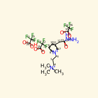 C[N+](C)(C)CCC[n+]1cccc(CC(=O)NN)c1.O=C(O)C(F)(F)F.O=C([O-])C(F)(F)F.O=C([O-])C(F)(F)F